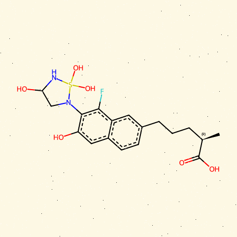 C[C@H](CCCc1ccc2cc(O)c(N3CC(O)NS3(O)O)c(F)c2c1)C(=O)O